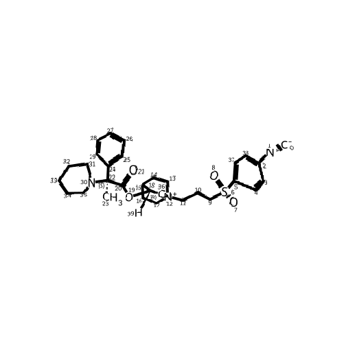 [C-]#[N+]c1ccc(S(=O)(=O)CCC[N+]23CCC(CC2)[C@@H](OC(=O)[C@](C)(c2ccccc2)N2CCCCC2)C3)cc1